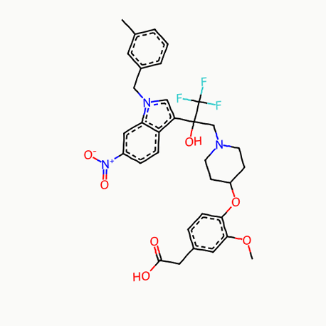 COc1cc(CC(=O)O)ccc1OC1CCN(CC(O)(c2cn(Cc3cccc(C)c3)c3cc([N+](=O)[O-])ccc23)C(F)(F)F)CC1